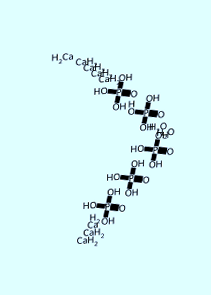 O.O.O=P(O)(O)O.O=P(O)(O)O.O=P(O)(O)O.O=P(O)(O)O.O=P(O)(O)O.[CaH2].[CaH2].[CaH2].[CaH2].[CaH2].[CaH2].[CaH2].[CaH2]